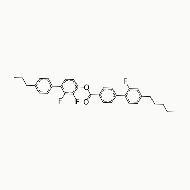 CCCCCc1ccc(-c2ccc(C(=O)Oc3ccc(-c4ccc(CCC)cc4)c(F)c3F)cc2)c(F)c1